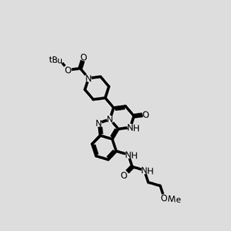 COCCNC(=O)Nc1cccc2nn3c(C4CCN(C(=O)OC(C)(C)C)CC4)cc(=O)[nH]c3c12